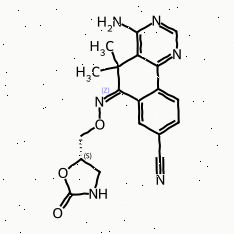 CC1(C)/C(=N/OC[C@@H]2CNC(=O)O2)c2cc(C#N)ccc2-c2ncnc(N)c21